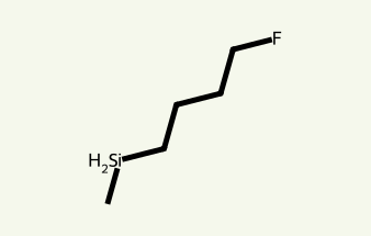 C[SiH2]CCCCF